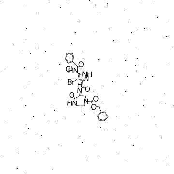 O=C(Nc1[nH]nc(C(=O)NC2CN(C(=O)OCc3ccccc3)CCNC2=O)c1Br)c1ccccc1Cl